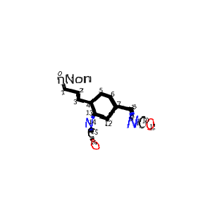 CCCCCCCCCCCCC1CCC(CN=C=O)CC1N=C=O